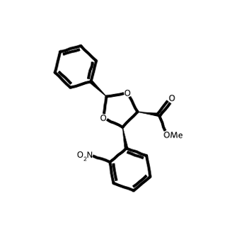 COC(=O)[C@@H]1O[C@H](c2ccccc2)O[C@@H]1c1ccccc1[N+](=O)[O-]